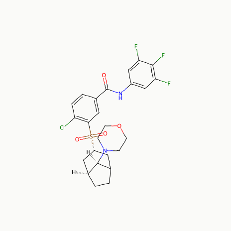 O=C(Nc1cc(F)c(F)c(F)c1)c1ccc(Cl)c(S(=O)(=O)[C@@H]2CC3CC[C@@H](C2)[C@H]3N2CCOCC2)c1